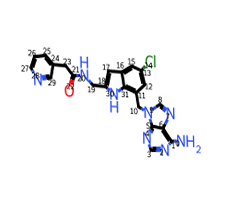 Nc1ncnc2c1ncn2Cc1cc(Cl)cc2cc(CNC(=O)Cc3cccnc3)[nH]c12